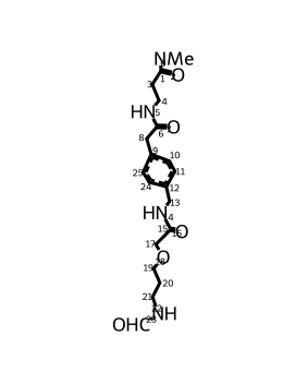 CNC(=O)CCNC(=O)Cc1ccc(CNC(=O)COCCCNC=O)cc1